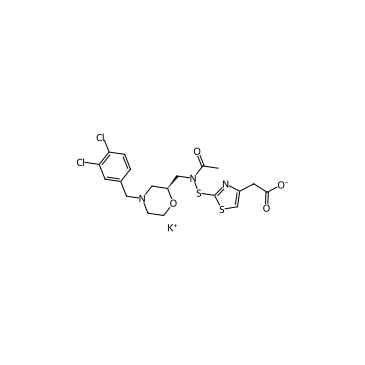 CC(=O)N(C[C@@H]1CN(Cc2ccc(Cl)c(Cl)c2)CCO1)Sc1nc(CC(=O)[O-])cs1.[K+]